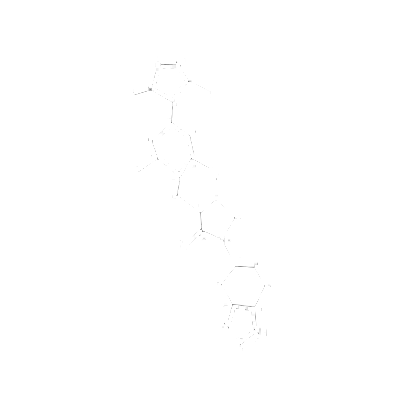 Cc1noc(C)c1-c1cc(Cl)c(CC2CCN(C3CCc4[nH]cnc4C3)C2=O)c(Cl)c1